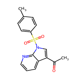 CC(=O)c1cn(S(=O)(=O)c2ccc(C)cc2)c2ncccc12